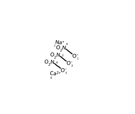 O=[N+]([O-])[O-].O=[N+]([O-])[O-].O=[N+]([O-])[O-].[Ca+2].[Na+]